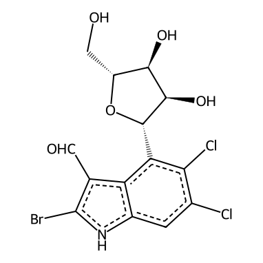 O=Cc1c(Br)[nH]c2cc(Cl)c(Cl)c([C@@H]3O[C@H](CO)[C@@H](O)[C@H]3O)c12